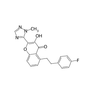 Cn1ncnc1-c1oc2cccc(CCc3ccc(F)cc3)c2c(=O)c1O